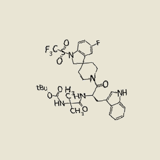 CC(C)(C)OC(=O)NC(C)(C)C(=O)N[C@H](Cc1c[nH]c2ccccc12)C(=O)N1CCC2(CC1)CN(S(=O)(=O)C(F)(F)F)c1ccc(F)cc12